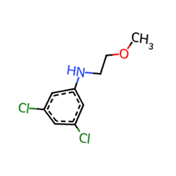 COCCNc1cc(Cl)cc(Cl)c1